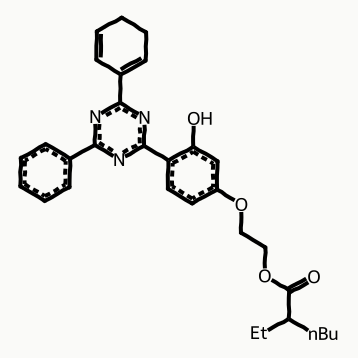 CCCCC(CC)C(=O)OCCOc1ccc(-c2nc(C3=CCCC=C3)nc(-c3ccccc3)n2)c(O)c1